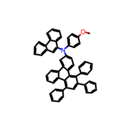 COc1ccc(N(c2ccc3c(c2)c2ccccc2c2c(-c4ccccc4)cc(-c4ccccc4)c(-c4ccccc4)c32)c2cc3ccccc3c3ccccc23)cc1